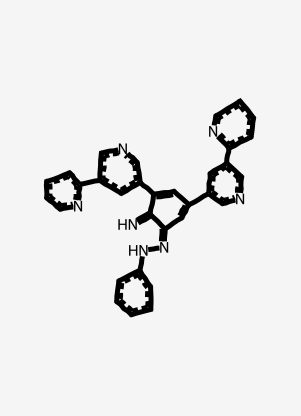 N=C1C(c2cncc(-c3ccccn3)c2)=CC(c2cncc(-c3ccccn3)c2)=C/C1=N/Nc1ccccc1